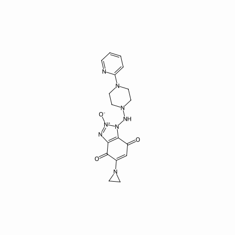 O=C1C(N2CC2)=CC(=O)c2c1n[n+]([O-])n2NN1CCN(c2ccccn2)CC1